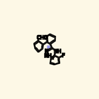 N/N=C(\Nc1ccccc1F)c1ccccc1-c1ccccc1C=O